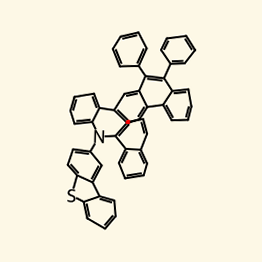 c1ccc(-c2c(-c3ccccc3)c3cc(-c4ccccc4N(c4ccc5sc6ccccc6c5c4)c4cccc5ccccc45)ccc3c3ccccc23)cc1